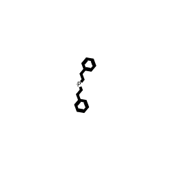 c1ccc(CC[P]CCc2ccccc2)cc1